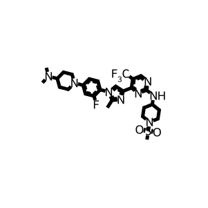 Cc1nc(-c2nc(NC3CCN(S(C)(=O)=O)CC3)ncc2C(F)(F)F)cn1-c1ccc(N2CCC(N(C)C)CC2)cc1F